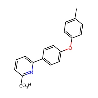 Cc1ccc(Oc2ccc(-c3cccc(C(=O)O)n3)cc2)cc1